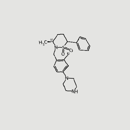 C[C@H]1CCC(c2ccccc2)S(=O)(=O)N1Cc1ccc(N2CCNCC2)cc1F